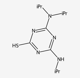 CC(C)Nc1nc(S)nc(N(C(C)C)C(C)C)n1